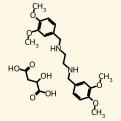 COc1ccc(CNCCNCc2ccc(OC)c(OC)c2)cc1OC.O=C(O)CC(O)C(=O)O